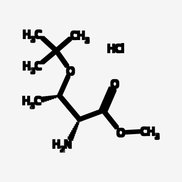 COC(=O)[C@H](N)[C@H](C)OC(C)(C)C.Cl